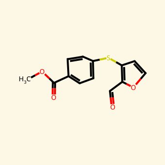 COC(=O)c1ccc(Sc2ccoc2C=O)cc1